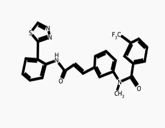 CN(C(=O)c1cccc(C(F)(F)F)c1)c1cccc(C=CC(=O)Nc2ccccc2-c2nncs2)c1